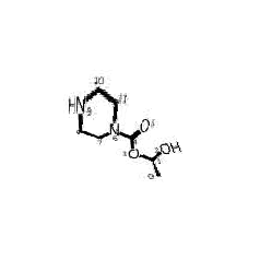 C[C@H](O)OC(=O)N1CCNCC1